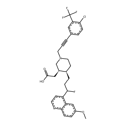 COc1ccc2nccc(C(F)CC[C@@H]3CCN(CC#Cc4ccc(Cl)c(C(F)(F)F)c4)C[C@@H]3CC(=O)O)c2c1